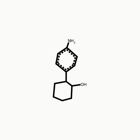 Nc1ccc(C2CCCCC2O)cc1